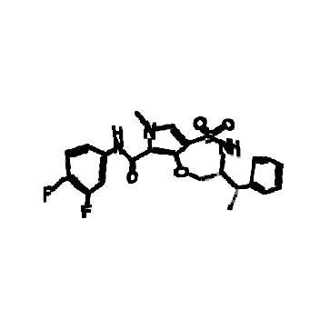 C[C@@H](c1ccccc1)[C@@H]1COc2c(cn(C)c2C(=O)Nc2ccc(F)c(F)c2)S(=O)(=O)N1